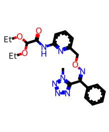 CCOC(OCC)C(=O)Nc1cccc(CO/N=C(/c2ccccc2)c2nnnn2C)n1